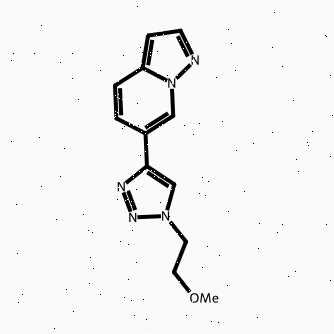 COCCn1cc(-c2ccc3ccnn3c2)nn1